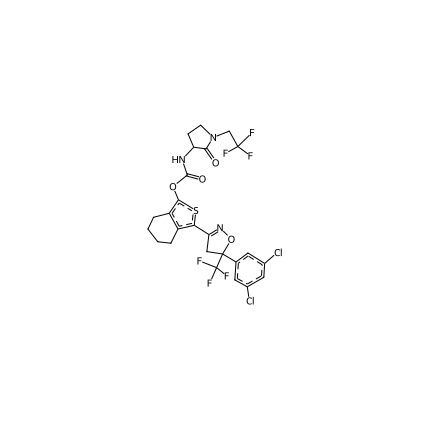 O=C(NC1CCN(CC(F)(F)F)C1=O)Oc1sc(C2=NOC(c3cc(Cl)cc(Cl)c3)(C(F)(F)F)C2)c2c1CCCC2